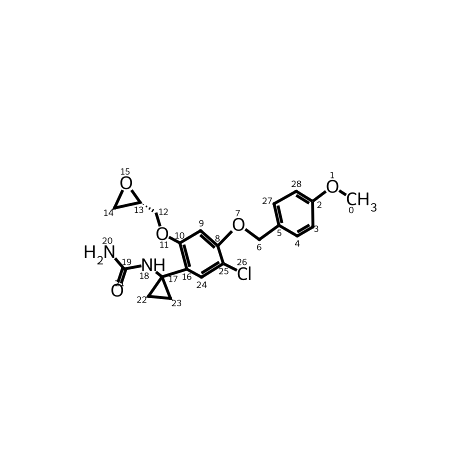 COc1ccc(COc2cc(OC[C@@H]3CO3)c(C3(NC(N)=O)CC3)cc2Cl)cc1